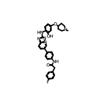 CN1CCC(Oc2ccc(Nc3nc4ccc(-c5ccc(NC(=O)Cc6ccc(F)cc6)cc5)cn4n3)c(O)c2)CC1